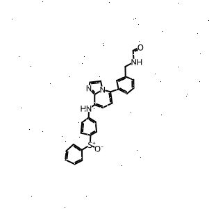 O=CNCc1cccc(-c2ccc(Nc3ccc([S+]([O-])c4ccccc4)cc3)c3nccn23)c1